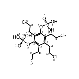 O=P(O)(O)Oc1c(CCCl)c(CCCl)c(CCCl)c(OP(=O)(O)O)c1CCCl